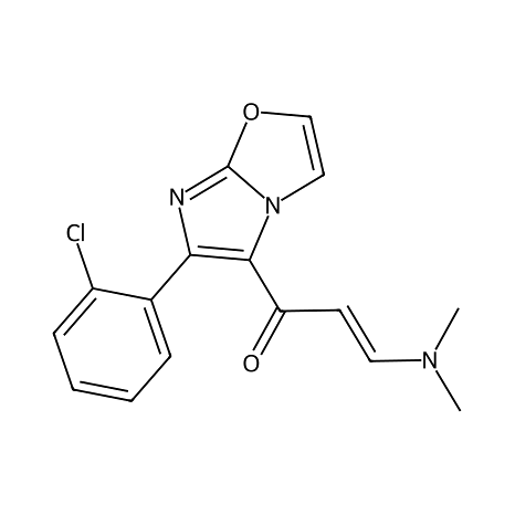 CN(C)/C=C/C(=O)c1c(-c2ccccc2Cl)nc2occn12